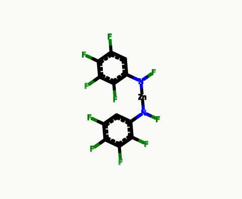 Fc1cc([N](F)[Zn][N](F)c2cc(F)c(F)c(F)c2F)c(F)c(F)c1F